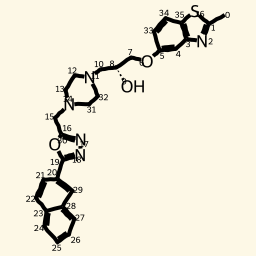 Cc1nc2cc(OC[C@H](O)CN3CCN(Cc4nnc(-c5ccc6ccccc6c5)o4)CC3)ccc2s1